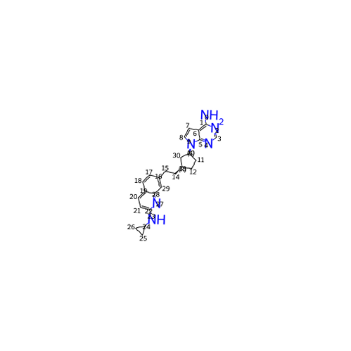 Nc1ncnc2c1ccn2[C@H]1CC[C@@H](CCc2ccc3ccc(NC4CC4)nc3c2)C1